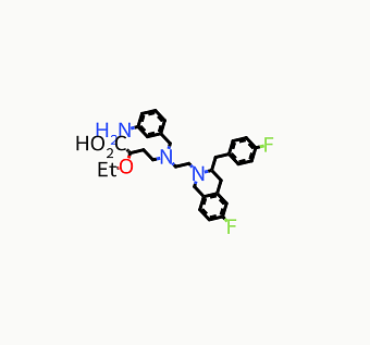 CCOC(CCN(CCN1Cc2ccc(F)cc2CC1Cc1ccc(F)cc1)Cc1cccc(N)c1)C(=O)O